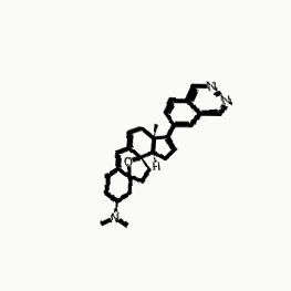 CN(C)[C@H]1CCC2=CC3=CC[C@]4(C)C(c5ccc6cnncc6c5)=CC[C@H]4[C@@]34CCC2(C1)O4